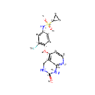 O=C1NCc2c(Oc3ccc(NS(=O)(=O)C4CC4)cc3F)ccnc2N1